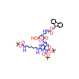 CC(C)(C)OC(=O)NCCCCCNc1nc(N(C(=O)OC(C)(C)C)C(=O)OC(C)(C)C)c2ncn(CC(=O)N(CCNC(=O)OCC3c4ccccc4-c4ccccc43)CC(=O)O)c2n1